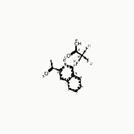 CC(=O)c1cc2ccccc2cn1.O=C(O)C(F)(F)F